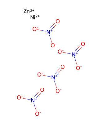 O=[N+]([O-])[O-].O=[N+]([O-])[O-].O=[N+]([O-])[O-].O=[N+]([O-])[O-].[Ni+2].[Zn+2]